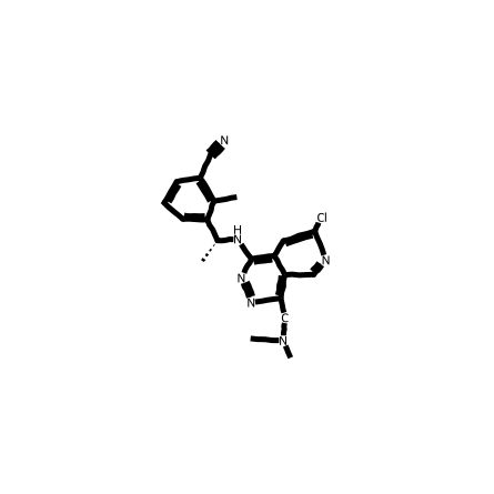 Cc1c(C#N)cccc1[C@@H](C)Nc1nnc(CN(C)C)c2cnc(Cl)cc12